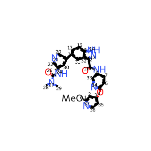 COc1cc(Oc2ccc(NC(=O)c3n[nH]c4ccc(-c5cncc(NC(=O)N(C)C)c5)cc34)cn2)ccn1